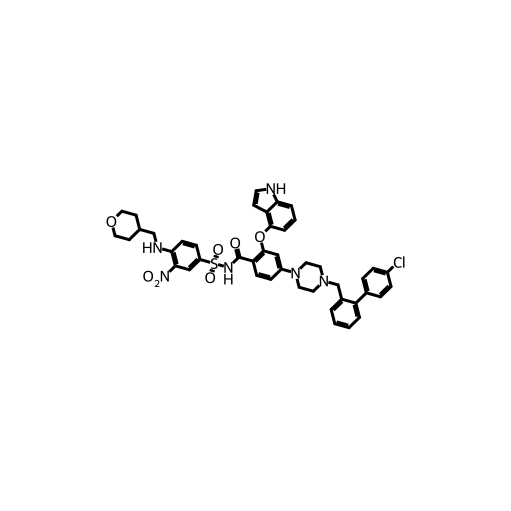 O=C(NS(=O)(=O)c1ccc(NCC2CCOCC2)c([N+](=O)[O-])c1)c1ccc(N2CCN(Cc3ccccc3-c3ccc(Cl)cc3)CC2)cc1Oc1cccc2[nH]ccc12